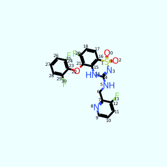 O=S1(=O)N=C(NCc2ncccc2F)Nc2c1ccc(F)c2Oc1c(F)cccc1F